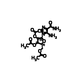 CC(=O)OC[C@H]1O[C@@H](n2cnc(C(N)=O)c2N)[C@H](OC(C)=O)[C@@H]1OC(C)=O